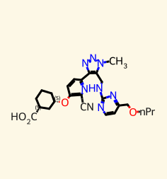 CCCOCc1ccnc(NCc2c(-c3ccc(O[C@H]4CCC[C@H](C(=O)O)C4)c(C#N)n3)nnn2C)n1